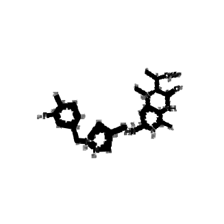 CO[C@H](C)[C@H]1C(=O)Nc2c(cc(NCc3cnn(Cc4ccc(C)c(F)c4)c3)nc2C)N1C